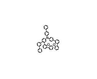 c1ccc(-c2ccc(N(c3ccc(-c4cccc5c4oc4ccccc45)cc3)c3ccc(-c4cccc(-c5ccccc5)c4)c(-c4cccc5c4oc4ccccc45)c3)cc2)cc1